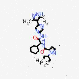 C=CC(C=C)n1nccc1C(=O)N[C@H](C(=O)Nc1cnc(-c2c(C)n[nH]c2C)cn1)C1CCCCC1